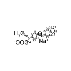 CC#C[C@@H](CC(=O)[O-])c1ccc(OCC2CCC3(CCCC3)CC2)cc1.[Na+]